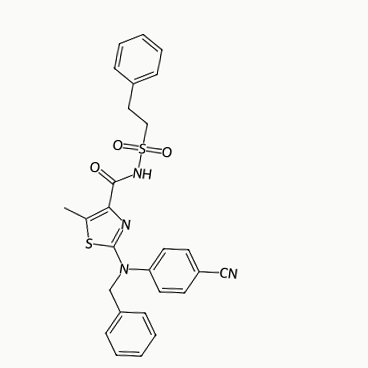 Cc1sc(N(Cc2ccccc2)c2ccc(C#N)cc2)nc1C(=O)NS(=O)(=O)CCc1ccccc1